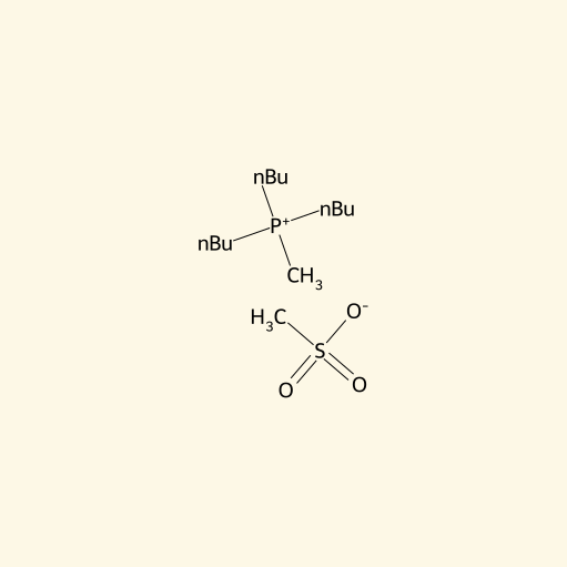 CCCC[P+](C)(CCCC)CCCC.CS(=O)(=O)[O-]